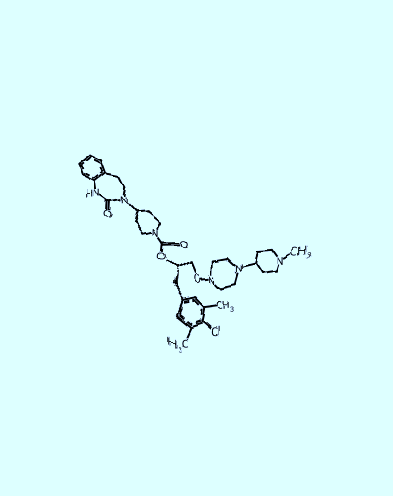 Cc1cc(C[C@H](CON2CCN(C3CCN(C)CC3)CC2)OC(=O)N2CCC(N3CCc4ccccc4NC3=O)CC2)cc(C)c1Cl